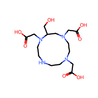 O=C(O)CN1CCNCCN(CC(=O)O)C(CO)CN(CC(=O)O)CC1